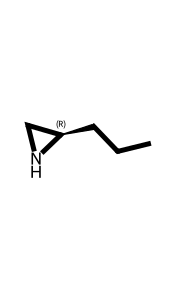 CCC[C@@H]1CN1